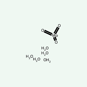 O.O.O.O.O.[O]=[Mo](=[O])=[O]